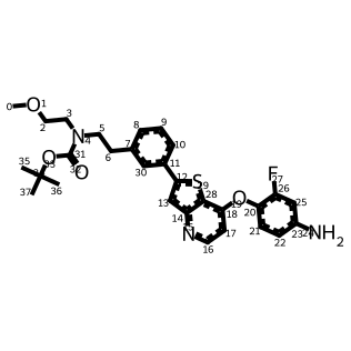 COCCN(CCc1cccc(-c2cc3nccc(Oc4ccc(N)cc4F)c3s2)c1)C(=O)OC(C)(C)C